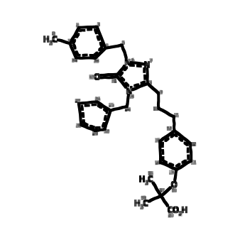 Cc1ccc(Cn2nc(CCCc3ccc(OC(C)(C)C(=O)O)cc3)n(Cc3ccccc3)c2=O)cc1